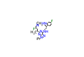 C=N/C=C(F)\C=C(/C)c1nc(NCCc2c[nH]c3cc(F)ccc23)c2ncn(C(C)C)c2n1